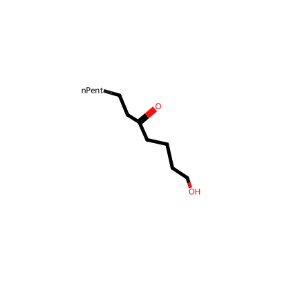 CCCCCCCC(=O)CCCCO